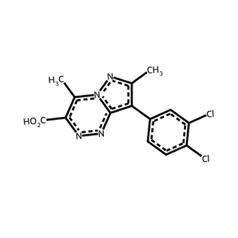 Cc1nn2c(C)c(C(=O)O)nnc2c1-c1ccc(Cl)c(Cl)c1